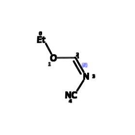 CCO/[C]=N\C#N